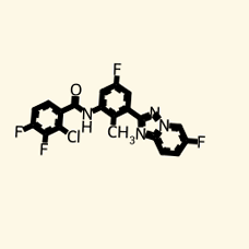 Cc1c(NC(=O)c2ccc(F)c(F)c2Cl)cc(F)cc1-c1nc2ccc(F)cn2n1